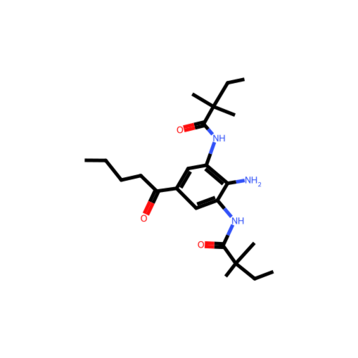 CCCCC(=O)c1cc(NC(=O)C(C)(C)CC)c(N)c(NC(=O)C(C)(C)CC)c1